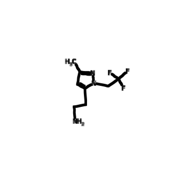 Cc1cc(CCN)n(CC(F)(F)F)n1